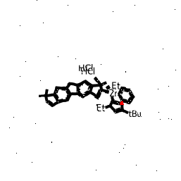 Cl.Cl.[CH2]=[Zr]([CH2]C)([C]1=CC(C(C)(C)C)=CC1CC)([C]1=Cc2cc3c(cc2C1(C)C)Cc1cc2c(cc1-3)C=CC2(C)C)[c]1ccccc1